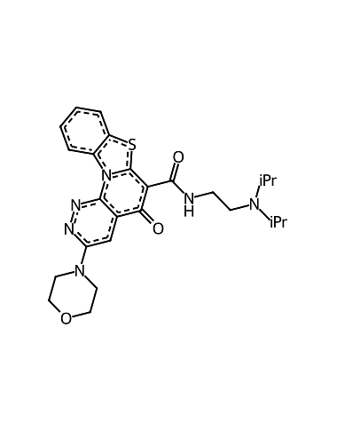 CC(C)N(CCNC(=O)c1c(=O)c2cc(N3CCOCC3)nnc2n2c1sc1ccccc12)C(C)C